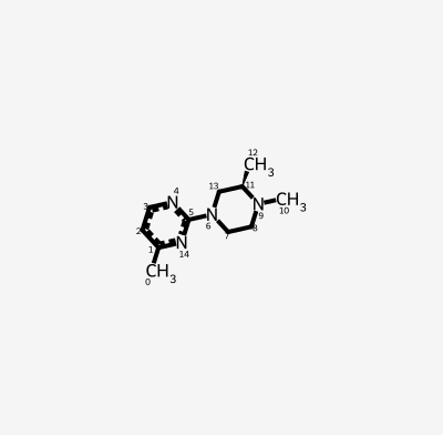 Cc1ccnc(N2CCN(C)[C@H](C)C2)n1